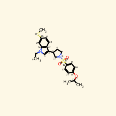 CCn1cc(C2CCN(S(=O)(=O)c3ccc(OC(C)C)cc3)C2)c2ccc(SC)cc21